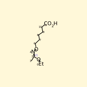 CCO/C(C)=N\OCCCCCC(=O)O